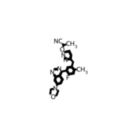 Cc1cc(F)c(-c2ncnc3cc(N4CCOCC4)ccc23)cc1Cc1ccc(OC(C)C#N)nn1